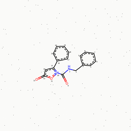 O=C(NCc1ccccc1)n1oc(=O)cc1-c1ccccc1